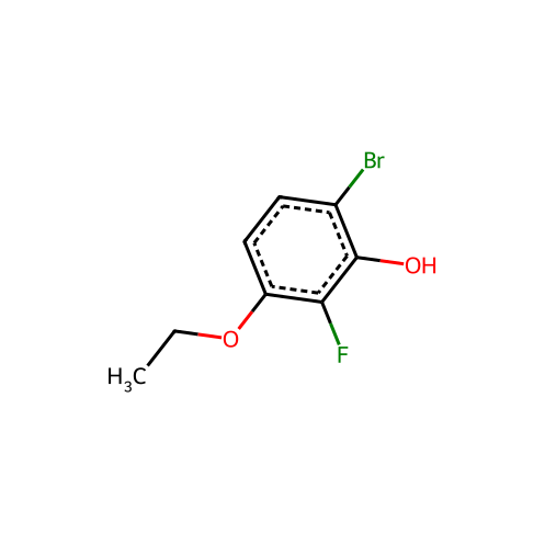 CCOc1ccc(Br)c(O)c1F